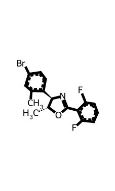 Cc1cc(Br)ccc1[C@H]1N=C(c2c(F)cccc2F)O[C@@H]1C